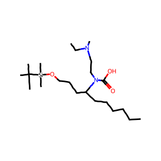 CCCCCCC(CCCO[Si](C)(C)C(C)(C)C)N(CCN(C)CC)C(=O)O